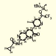 Cc1cc(C(O[Si](C)(C)C(C)(C)C)C(F)(F)F)ncc1-c1cc2cnc(NC(=O)C3CC3)cc2n(C)c1=O